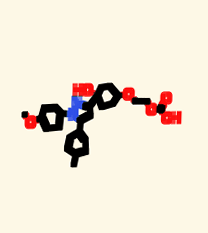 COc1ccc(-n2nc([C@]3(O)CC[C@H](OCCOC(=O)O)CC3)cc2-c2ccc(C)cc2)cc1